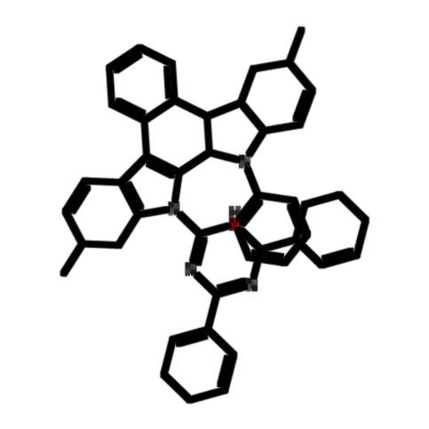 CC1C=Cc2c3c(n(C4=NC(C5=CCCC=C5)=NC(C5C=CCCC5)N4)c2C1)C1C(c2ccccc2-3)C2CC(C)C=CC2N1c1ccccc1